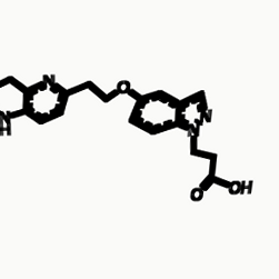 O=C(O)CCn1ncc2cc(OCCc3ccc4c(n3)CCCN4)ccc21